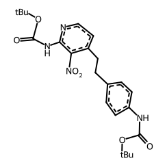 CC(C)(C)OC(=O)Nc1ccc(CCc2ccnc(NC(=O)OC(C)(C)C)c2[N+](=O)[O-])cc1